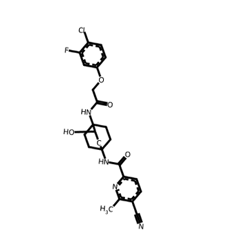 Cc1nc(C(=O)NC23CCC(NC(=O)COc4ccc(Cl)c(F)c4)(CC2)C(O)C3)ccc1C#N